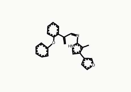 C=C(/C=N\c1[nH]cc(-c2ccoc2)c1C)c1ccccc1Oc1ccccc1